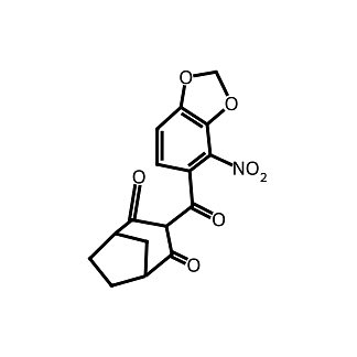 O=C(c1ccc2c(c1[N+](=O)[O-])OCO2)C1C(=O)C2CCC(C2)C1=O